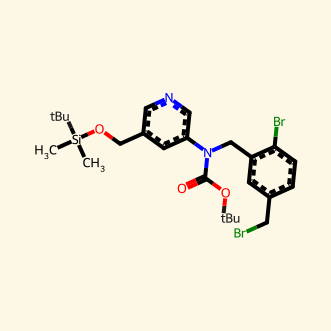 CC(C)(C)OC(=O)N(Cc1cc(CBr)ccc1Br)c1cncc(CO[Si](C)(C)C(C)(C)C)c1